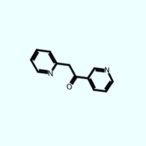 O=C(Cc1ccccn1)c1cccnc1